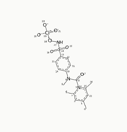 Cc1cc(C)[n+](C(=O)N(C)c2ccc(S(=O)(=O)NO[Cl+3]([O-])([O-])[O-])cc2)c(C)c1